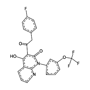 O=C(Cc1ccc(F)cc1)c1c(O)c2cccnc2n(-c2cccc(OC(F)(F)F)c2)c1=O